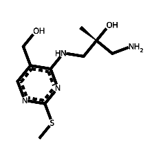 CSc1ncc(CO)c(NC[C@](C)(O)CN)n1